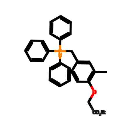 CCOC(=O)COc1ccc(C[PH](c2ccccc2)(c2ccccc2)c2ccccc2)cc1C